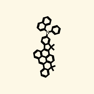 CC1(C)c2cc(N(c3ccccc3)c3cccc4ccccc34)ccc2-c2c1c1ccc3c4c(cc5cccc2c5c14)-c1ccccc1C3(C)C